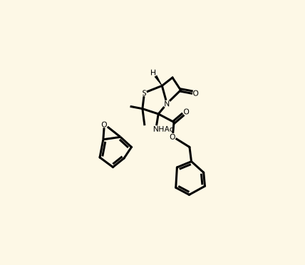 CC(=O)NC1(C(=O)OCc2ccccc2)N2C(=O)C[C@H]2SC1(C)C.c1ccc2c(c1)O2